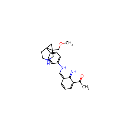 COCC12CNCCC1(c1ccc(N/C=C3/C=CC=C(C(C)=O)C3=N)cc1)C2